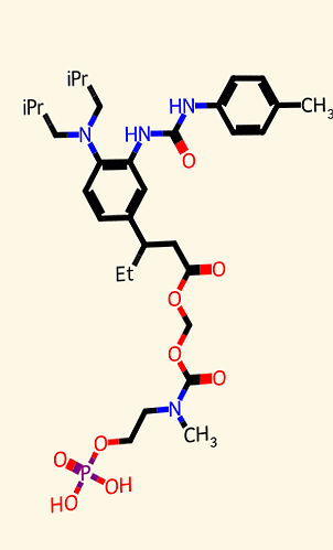 CCC(CC(=O)OCOC(=O)N(C)CCOP(=O)(O)O)c1ccc(N(CC(C)C)CC(C)C)c(NC(=O)Nc2ccc(C)cc2)c1